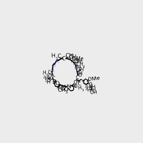 [2H]C([2H])([2H])O[C@H]1C[C@@H]2CC[C@@H](C)[C@@](O)(O2)C(=O)C(=O)N2CCCC[C@H]2C(=O)O[C@H]([C@H](C)C[C@@H]2CC[C@@H](OC([2H])([2H])C([2H])([2H])O)[C@H](OC)C2)CC(=O)[C@H](C([2H])([2H])[2H])/C=C(\C)[C@@H](O)[C@@H](OC)C(=C)[C@H](C)C[C@H](C)/C=C/C=C/C=C/1C